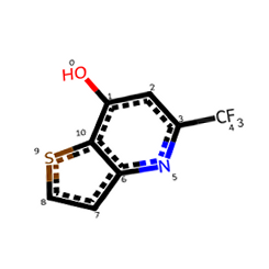 Oc1cc(C(F)(F)F)nc2ccsc12